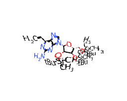 C=Cc1nc(N)nc2c1ncn2[C@@H]1O[C@H](CO[Si](C)(C)C(C)(C)C)[C@@H](O[Si](C)(C)C(C)(C)C)[C@H]1O[Si](C)(C)C(C)(C)C